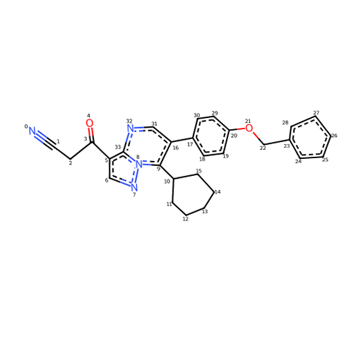 N#CCC(=O)c1cnn2c(C3CCCCC3)c(-c3ccc(OCc4ccccc4)cc3)cnc12